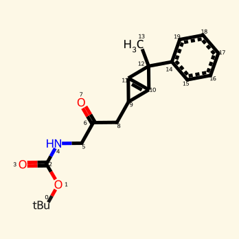 CC(C)(C)OC(=O)NCC(=O)CC1C2=C1C2(C)c1ccccc1